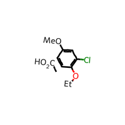 CC(=O)O.CCOc1ccc(OC)cc1Cl